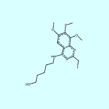 CCc1nc(NCCCCCO)c2cc(OC)c(OC)c(OC)c2n1